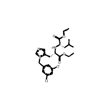 CCOC(=O)[C@H](Cc1cncn1Cc1cc(Cl)cc(Cl)c1)N[C@@H](CC(C)C)C(=O)OCC